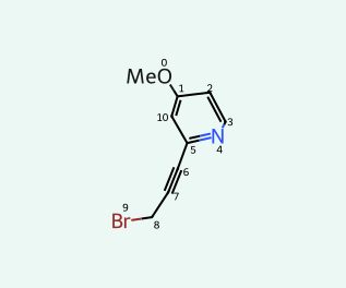 COc1ccnc(C#CCBr)c1